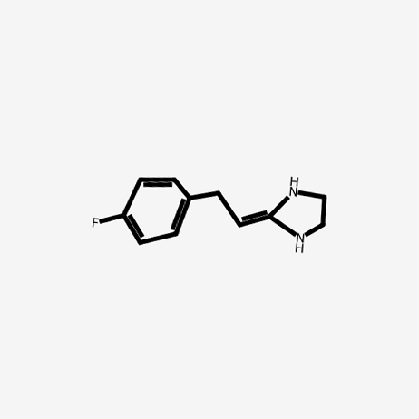 Fc1ccc(CC=C2NCCN2)cc1